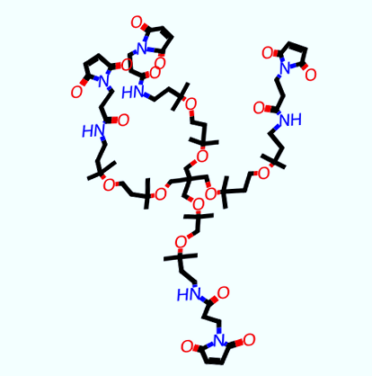 CC(C)(CCNC(=O)CCN1C(=O)C=CC1=O)OCCC(C)(C)OCC(COC(C)(C)CCOC(C)(C)CCNC(=O)CCN1C(=O)C=CC1=O)(COC(C)(C)CCOC(C)(C)CCNC(=O)CCN1C(=O)C=CC1=O)COC(C)(C)COC(C)(C)CCNC(=O)CCN1C(=O)C=CC1=O